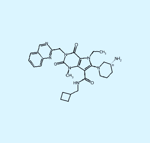 CCn1c(N2CCC[C@@H](N)C2)c(C(=O)NCC2CCC2)c2c1c(=O)n(Cc1ncc3ccccc3n1)c(=O)n2C